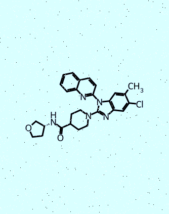 Cc1cc2c(cc1Cl)nc(N1CCC(C(=O)N[C@@H]3CCOC3)CC1)n2-c1ccc2ccccc2n1